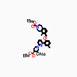 CO[C@H]1CN(c2cccc(-c3cc(C)ccc3OCc3ccc4c(c3C)CCN(C(=O)OC(C)(C)C)CC4)n2)CC[C@H]1C(=O)OC(C)(C)C